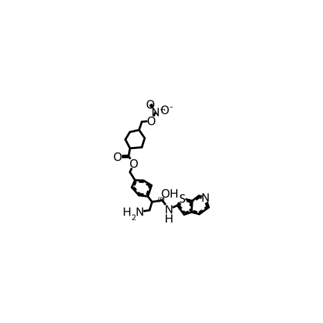 NCC(c1ccc(COC(=O)C2CCC(CO[N+](=O)[O-])CC2)cc1)[C@H](O)Nc1cc2ccncc2s1